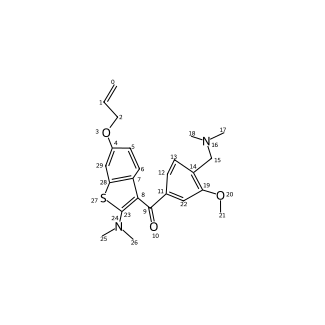 C=CCOc1ccc2c(C(=O)c3ccc(CN(C)C)c(OC)c3)c(N(C)C)sc2c1